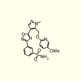 COc1ccc(OCc2c(-c3nc(-c4cccc(S(N)(=O)=O)c4)no3)cnn2C)nc1